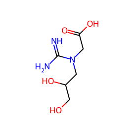 N=C(N)N(CC(=O)O)CC(O)CO